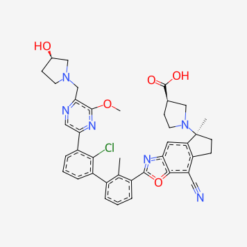 COc1nc(-c2cccc(-c3cccc(-c4nc5cc6c(c(C#N)c5o4)CC[C@]6(C)N4CC[C@@H](C(=O)O)C4)c3C)c2Cl)cnc1CN1CC[C@@H](O)C1